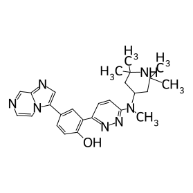 CN(c1ccc(-c2cc(-c3cnc4cnccn34)ccc2O)nn1)C1CC(C)(C)NC(C)(C)C1